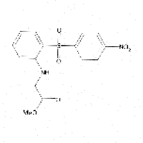 COC(=O)CNc1ccccc1S(=O)(=O)c1ccc([N+](=O)[O-])cc1